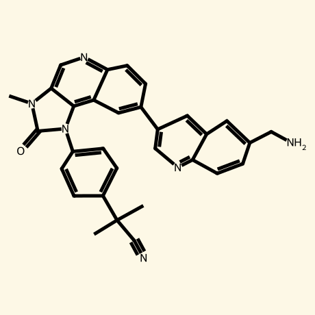 Cn1c(=O)n(-c2ccc(C(C)(C)C#N)cc2)c2c3cc(-c4cnc5ccc(CN)cc5c4)ccc3ncc21